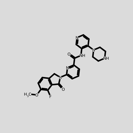 COc1ccc2c(c1F)C(=O)N(c1cccc(C(=O)Nc3cnccc3N3CCNCC3)n1)C2